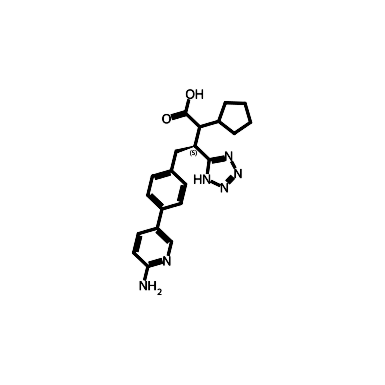 Nc1ccc(-c2ccc(C[C@H](c3nnn[nH]3)C(C(=O)O)C3CCCC3)cc2)cn1